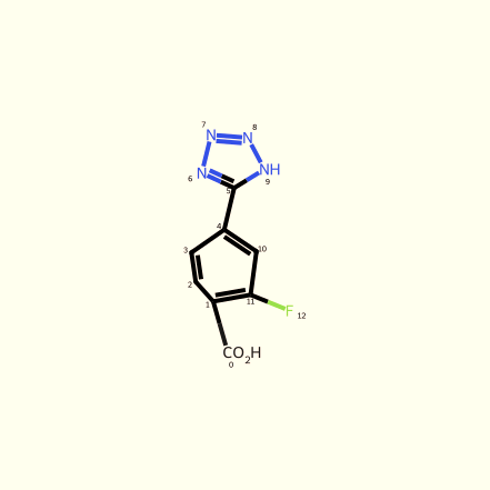 O=C(O)c1ccc(-c2nnn[nH]2)cc1F